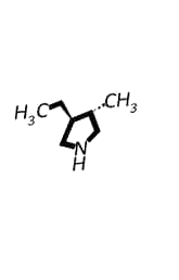 CC[C@@H]1CNC[C@H]1C